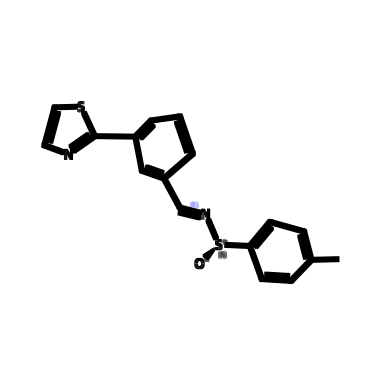 Cc1ccc([S@@+]([O-])/N=C/c2cccc(-c3nccs3)c2)cc1